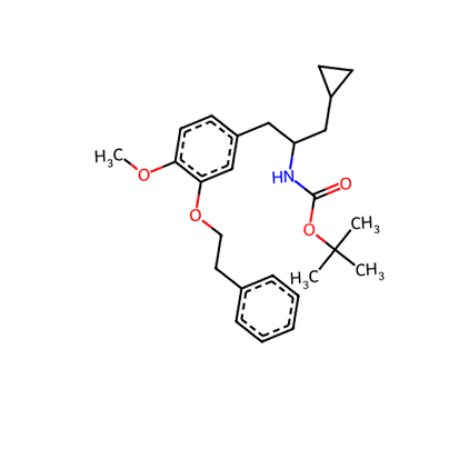 COc1ccc(CC(CC2CC2)NC(=O)OC(C)(C)C)cc1OCCc1ccccc1